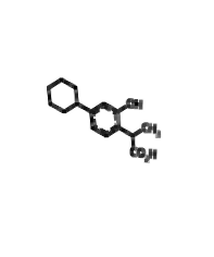 CC(C(=O)O)c1ccc(C2CCCCC2)cc1O